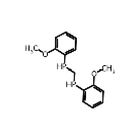 COc1ccccc1P[CH]Pc1ccccc1OC